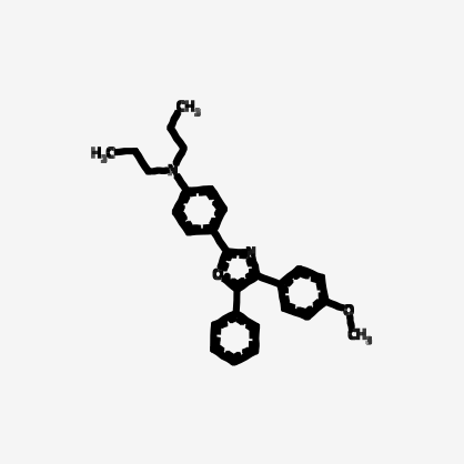 CCCN(CCC)c1ccc(-c2nc(-c3ccc(OC)cc3)c(-c3ccccc3)o2)cc1